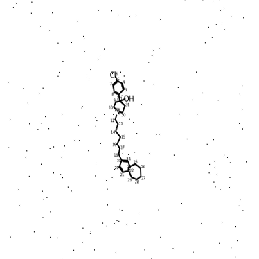 OC1(c2ccc(Cl)cc2)CCN(CCCCCCCc2ccc3c(c2)CCCCC3)CC1